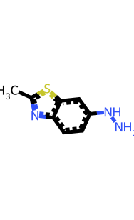 Cc1nc2ccc(NN)cc2s1